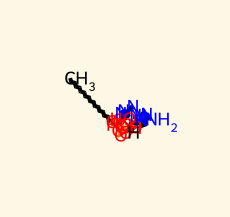 CCCCCCCCCCCCCCCCCCOC[C@H](COc1ccc(C#N)nn1)OP(=O)(O)OC1[C@H]2O[C@@](C#N)(c3ccc4c(N)ncnn34)[C@H](O)[C@@]12O